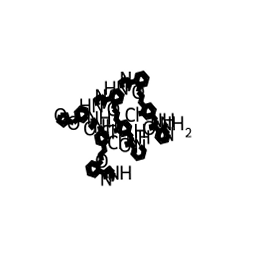 Nc1ncccc1C(=O)Nc1ccc(CCOc2ccccc2-c2c[nH]cn2)c(Cl)c1.O=C(Nc1ccc(CCOc2ccccc2-c2c[nH]cn2)c(Cl)c1)C1CCCCN1.O=C(Nc1cccc(OC2CCOC2)c1)Nc1ccc(CCOc2ccccc2-c2c[nH]cn2)c(Cl)c1